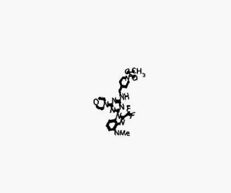 CNc1cccc2c1nc(C(F)F)n2-c1nc(NCC2CCN(S(C)(=O)=O)CC2)nc(N2CCOCC2)n1